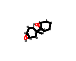 CC1(C23CCCCC2O3)CCC2OC2C1